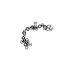 N#Cc1ncc(OC2CCC(C(=O)Nc3ccc(N4CCC(CN5CCN(c6ccc7c(c6)C(=O)N(C6CCC(=O)NC6=O)C7=O)CC5)CC4)nn3)CC2)cc1C(F)(F)F